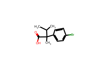 CC(C)C(C)(C(=O)O)c1ccc(Br)cc1